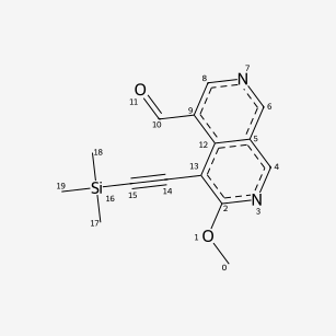 COc1ncc2cncc(C=O)c2c1C#C[Si](C)(C)C